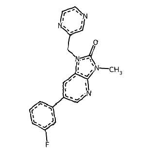 Cn1c(=O)n(Cc2cnccn2)c2cc(-c3cccc(F)c3)cnc21